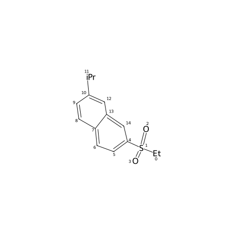 CCS(=O)(=O)c1ccc2ccc(C(C)C)cc2c1